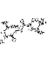 N=C(N)SN(C(=O)O)C(=O)CCC(=O)N(SC(=N)N)C(=O)O